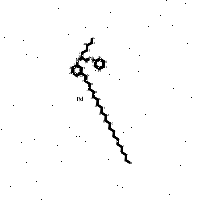 CCCCCCCCCCCCCCCCCCCCCC=Cc1cccc(N=C(C=Nc2ccccc2)CCCCC)c1.[Pd]